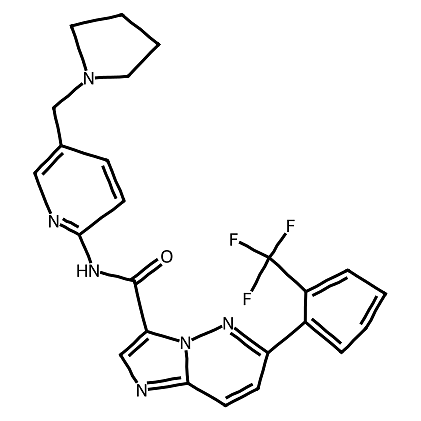 O=C(Nc1ccc(CN2CCCC2)cn1)c1cnc2ccc(-c3ccccc3C(F)(F)F)nn12